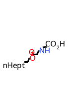 CCCCCCCC=CCOC(=O)CCNCCC(=O)O